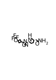 NC(=O)C[C@@H]1CC[C@H](c2noc(C3CC(OC(F)(F)F)C3)n2)NC1